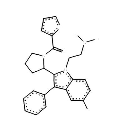 CCN(CC)CCn1c(C2CCCN2C(=O)c2ccco2)c(-c2ccccc2)c2cc(Cl)ccc21